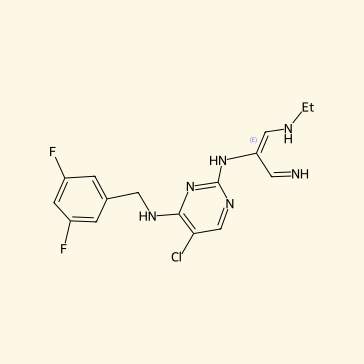 CCN/C=C(\C=N)Nc1ncc(Cl)c(NCc2cc(F)cc(F)c2)n1